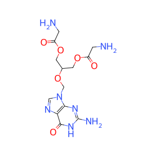 NCC(=O)OCC(COC(=O)CN)OCn1cnc2c(=O)[nH]c(N)nc21